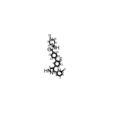 Cc1cccc(-c2n[nH]cc2-c2ccc(F)c(-c3ccc(C(=O)NN4CCN(C)CC4)cc3)c2)n1